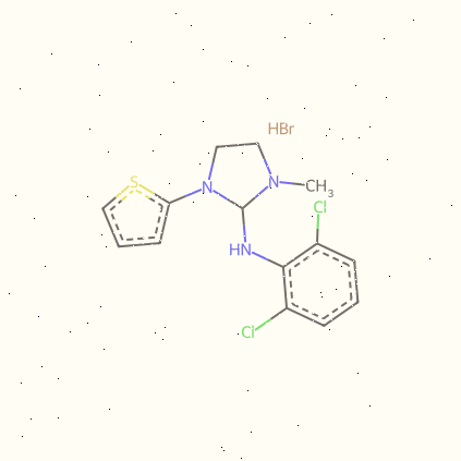 Br.CN1CCN(c2cccs2)C1Nc1c(Cl)cccc1Cl